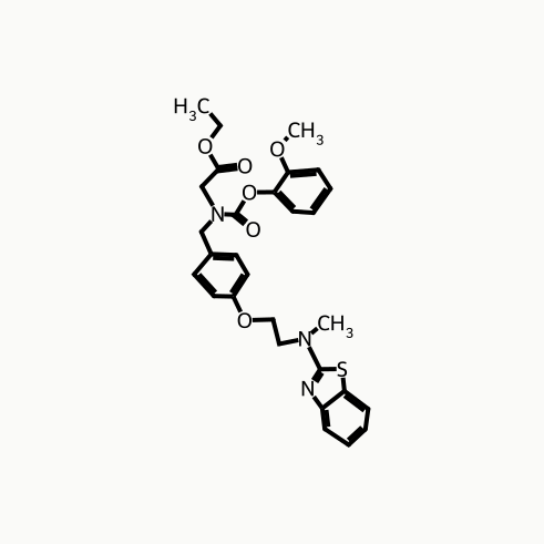 CCOC(=O)CN(Cc1ccc(OCCN(C)c2nc3ccccc3s2)cc1)C(=O)Oc1ccccc1OC